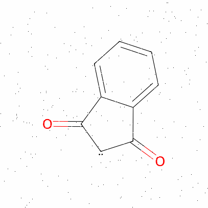 O=C1[C]C(=O)c2ccccc21